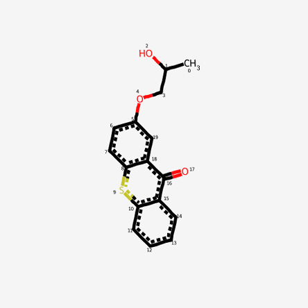 CC(O)COc1ccc2sc3ccccc3c(=O)c2c1